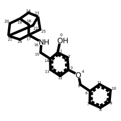 Oc1cc(OCc2ccccc2)ccc1CNC12CC3CC(CC(C3)C1)C2